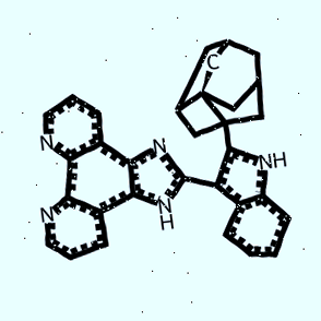 c1ccc2c(-c3nc4c5cccnc5c5ncccc5c4[nH]3)c(C34CC5CC6CC(C3)[C@]4(C6)C5)[nH]c2c1